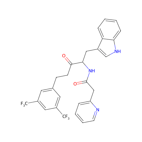 O=C(Cc1ccccn1)NC(Cc1c[nH]c2ccccc12)C(=O)CCc1cc(C(F)(F)F)cc(C(F)(F)F)c1